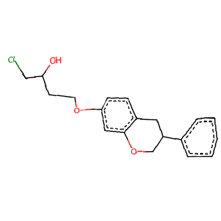 OC(CCl)CCOc1ccc2c(c1)OCC(c1ccccc1)C2